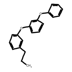 CCCc1cccc(Oc2cccc(Oc3ccccc3)c2)c1